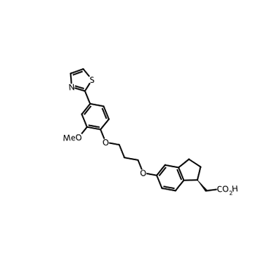 COc1cc(-c2nccs2)ccc1OCCCOc1ccc2c(c1)CC[C@H]2CC(=O)O